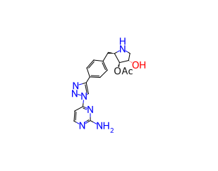 CC(=O)O[C@@H]1[C@@H](O)CN[C@@H]1Cc1ccc(-c2cn(-c3ccnc(N)n3)nn2)cc1